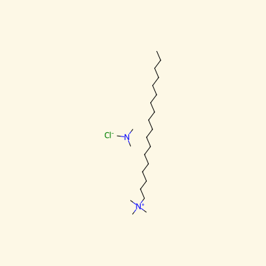 CCCCCCCCCCCCCCCCCC[N+](C)(C)C.CN(C)C.[Cl-]